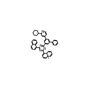 C[C@]12C=CC=CC1C(c1nc(-c3cc(-c4ccccc4)cc(-c4ccnc(C5CCCCC5)c4)c3)nc(-c3cccc4ccccc34)n1)=CC=C2